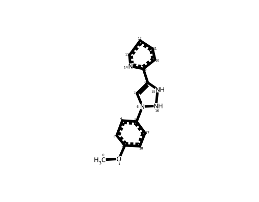 COc1ccc(N2C=C(c3ccccn3)NN2)cc1